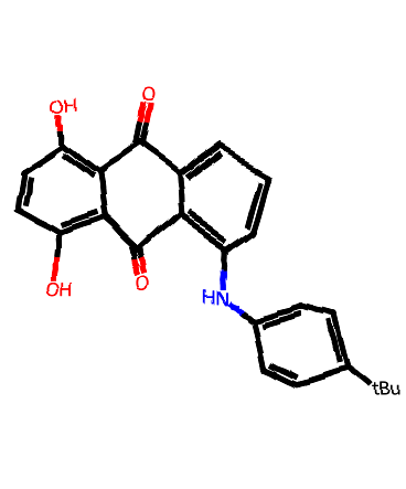 CC(C)(C)c1ccc(Nc2cccc3c2C(=O)c2c(O)ccc(O)c2C3=O)cc1